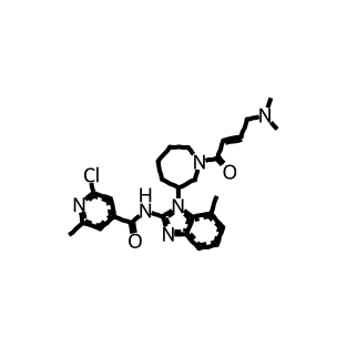 Cc1cc(C(=O)Nc2nc3cccc(C)c3n2C2CCCCN(C(=O)C=CCN(C)C)C2)cc(Cl)n1